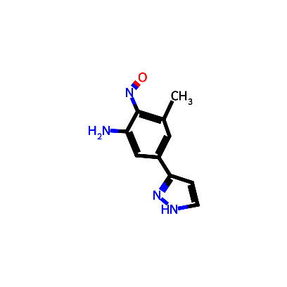 Cc1cc(-c2cc[nH]n2)cc(N)c1N=O